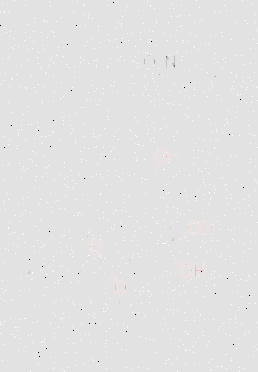 O=[N+]([O-])c1cccc(COc2ccc3c(c2)S(O)(O)CC3S(=O)(=O)c2ccccc2)c1